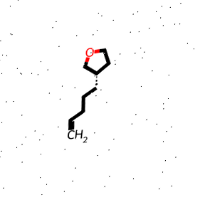 C=CCCC[C@H]1CCOC1